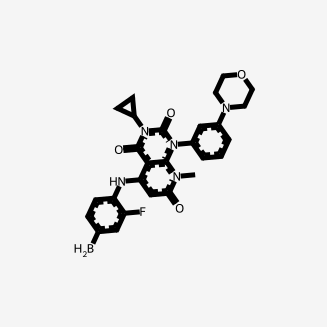 Bc1ccc(Nc2cc(=O)n(C)c3c2c(=O)n(C2CC2)c(=O)n3-c2cccc(N3CCOCC3)c2)c(F)c1